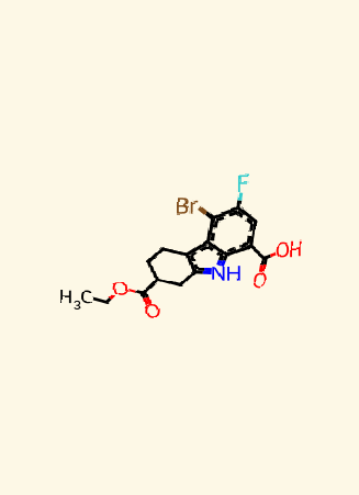 CCOC(=O)C1CCc2c([nH]c3c(C(=O)O)cc(F)c(Br)c23)C1